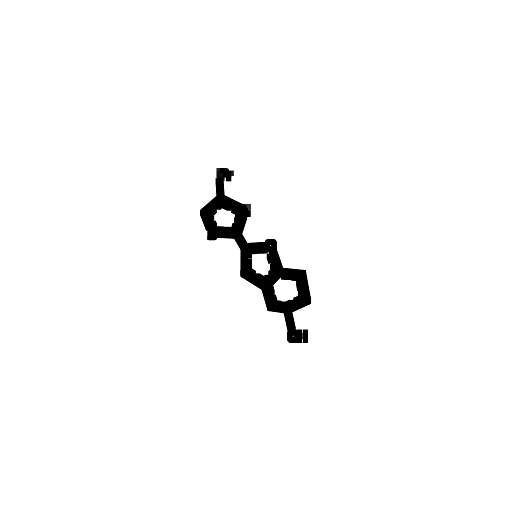 CC(C)c1csc(-c2cc3cc(O)ccc3o2)n1